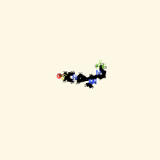 CC(C)n1nc(-c2cccc(C(F)(F)F)n2)cc1C1C2CC(N3CCC4(CC3)C[S+]([O-])C4)CC21